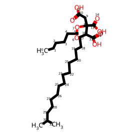 CCCCCC(=O)OC(CC(=O)O)(C(=O)O)C(CCCCCCCCCCCCCC(C)C)C(=O)O